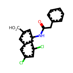 O=C(Cc1ccccc1)Nc1cc(C(=O)O)cc2cc(Cl)cc(Cl)c12